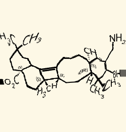 BC1=C(CN)C[C@]2(C)CCC3=C4C5CC(C)(C)CC[C@]5(C(=O)O)CC[C@@]4(C)[C@H]3CC[C@H]2C1(C)C